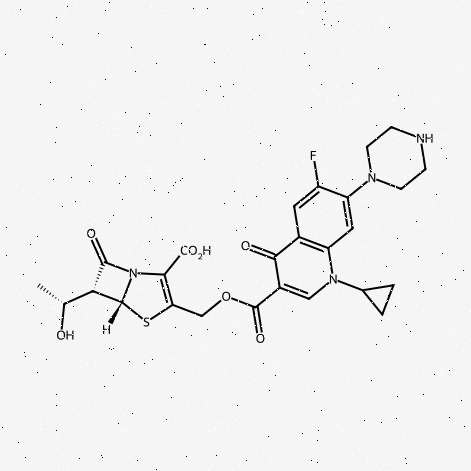 C[C@@H](O)[C@@H]1C(=O)N2C(C(=O)O)=C(COC(=O)c3cn(C4CC4)c4cc(N5CCNCC5)c(F)cc4c3=O)S[C@H]12